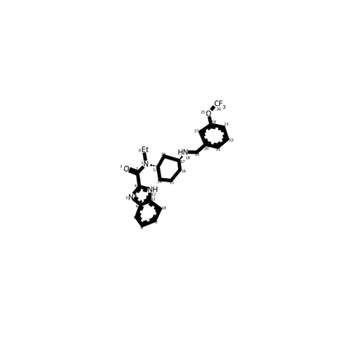 CCN(C(=O)c1nc2ccccc2[nH]1)[C@H]1CCC[C@@H](NCc2cccc(OC(F)(F)F)c2)C1